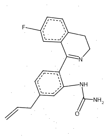 C=CCc1ccc(C2=NCCc3ccc(F)cc32)c(NC(N)=O)c1